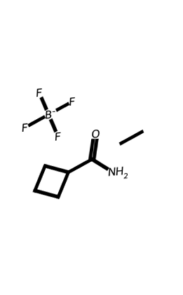 CC.F[B-](F)(F)F.NC(=O)C1CCC1